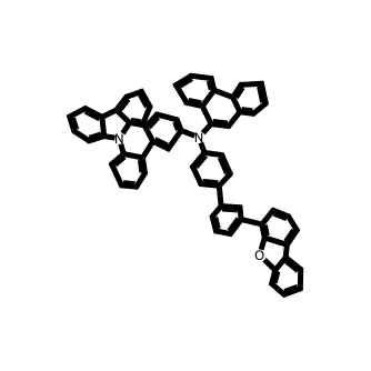 c1cc(-c2ccc(N(c3cccc(-c4ccccc4-n4c5ccccc5c5ccccc54)c3)c3cc4ccccc4c4ccccc34)cc2)cc(-c2cccc3c2oc2ccccc23)c1